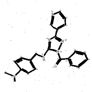 CN(C)c1ccc(CNc2nc(-c3cccnc3)nn2C(=O)c2ccccc2)cc1